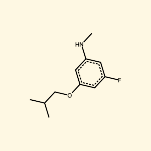 CNc1cc(F)cc(OCC(C)C)c1